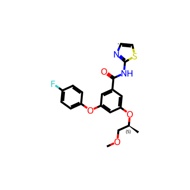 COC[C@H](C)Oc1cc(Oc2ccc(F)cc2)cc(C(=O)Nc2n[c]cs2)c1